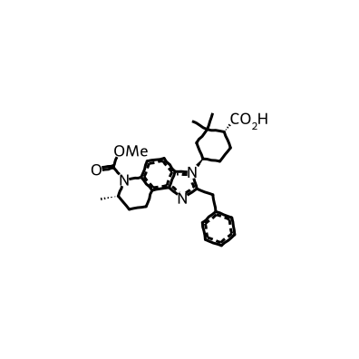 COC(=O)N1c2ccc3c(nc(Cc4ccccc4)n3[C@@H]3CC[C@@H](C(=O)O)C(C)(C)C3)c2CC[C@@H]1C